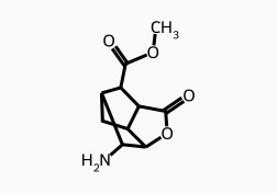 COC(=O)C1C2CC3C(OC(=O)C31)C2N